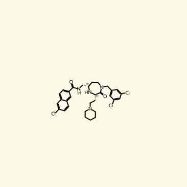 O=C(NC[C@@H]1CCN(Cc2cc(Cl)cc(Cl)c2)C(=O)[C@H](CCN2CCCCC2)N1)c1ccc2cc(Cl)ccc2c1